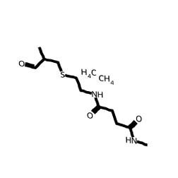 C.C.CNC(=O)CCC(=O)NCCSCC(C)C=O